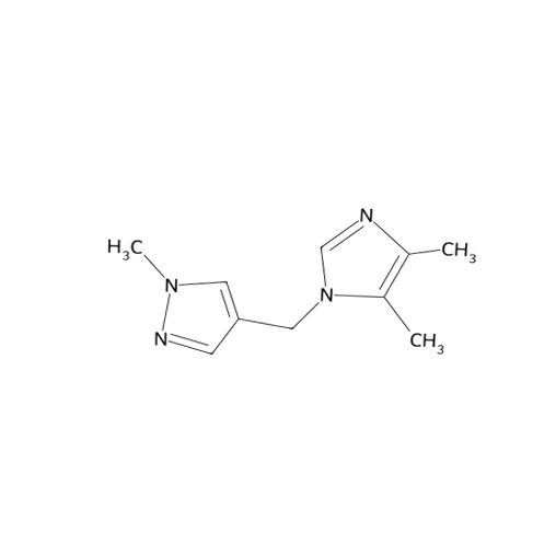 Cc1ncn(Cc2cnn(C)c2)c1C